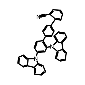 N#Cc1ccccc1-c1ccc(-c2ccc(-n3c4ccccc4c4ccccc43)cc2-n2c3ccccc3c3ccccc32)cc1